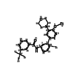 CCOc1ncc(-c2cc(NC(=O)c3cnnc(C(C)(C)F)c3)ccc2C)cc1N1CCOCC1